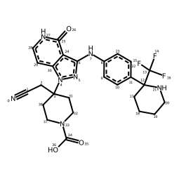 N#CCC1(n2nc(Nc3ccc(C4(C(F)(F)F)CCCCN4)cc3)c3c(=O)[nH]ccc32)CCN(C(=O)O)CC1